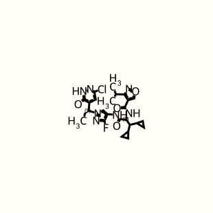 CC[C@@H](c1cc(Cl)n[nH]c1=O)n1cc(NC(=O)[C@@H](NC(=O)c2conc2C(C)C)C(C2CC2)C2CC2)c(F)n1